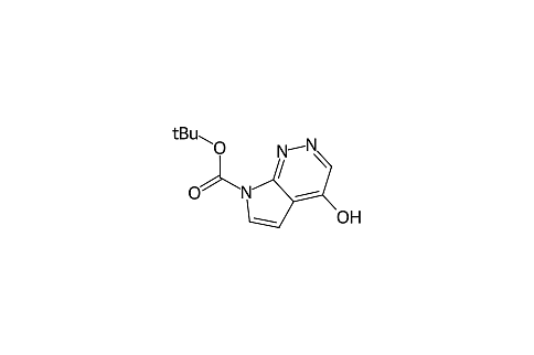 CC(C)(C)OC(=O)n1ccc2c(O)cnnc21